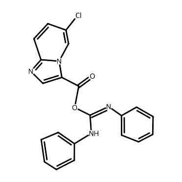 O=C(O/C(=N/c1ccccc1)Nc1ccccc1)c1cnc2ccc(Cl)cn12